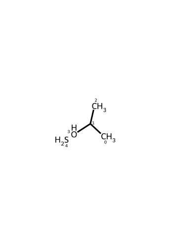 CC(C)O.S